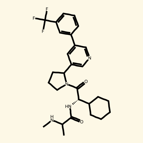 CNC(C)C(=O)N[C@H](C(=O)N1CCCC1c1cncc(-c2cccc(C(F)(F)F)c2)c1)C1CCCCC1